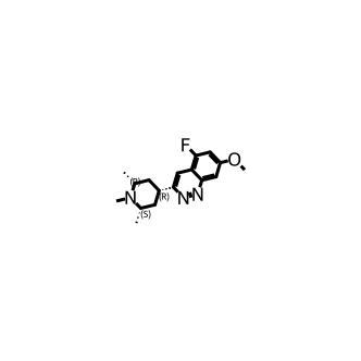 COc1cc(F)c2cc([C@H]3C[C@@H](C)N(C)[C@@H](C)C3)nnc2c1